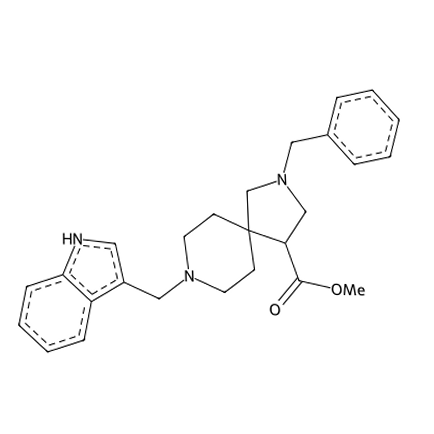 COC(=O)C1CN(Cc2ccccc2)CC12CCN(Cc1c[nH]c3ccccc13)CC2